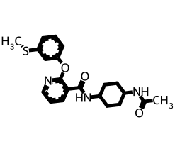 CSc1cccc(Oc2ncccc2C(=O)NC2CCC(NC(C)=O)CC2)c1